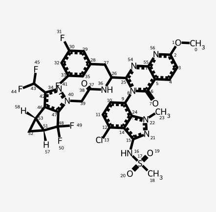 COc1ccc2c(=O)n(-c3ccc(Cl)c4c(NS(C)(=O)=O)nn(C)c34)c(C(Cc3cc(F)cc(F)c3)NC(=O)Cn3nc(C(F)F)c4c3C(F)(F)[C@@H]3C[C@H]43)nc2n1